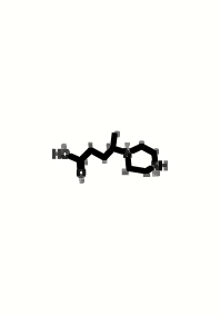 CC(CCC(=O)O)N1CCNCC1